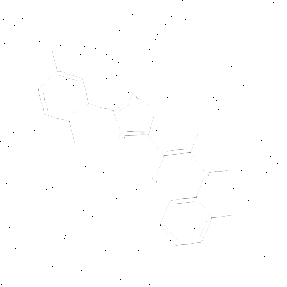 C/C(=C(/N)c1nc(-c2cc(F)ccc2F)no1)N(C)c1ccccc1F